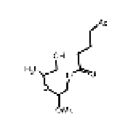 COC(COC(=O)CCCC(C)=O)OC(C)CO